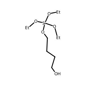 CCO[Si](OCC)(OCC)OCCCCO